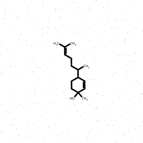 CC(C)=CCCC(C)C1C=CC(C)(O)CC1